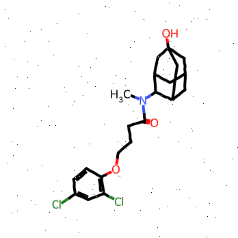 CN(C(=O)CCCOc1ccc(Cl)cc1Cl)C1C2CC3CC1CC(O)(C3)C2